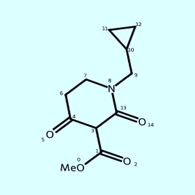 COC(=O)C1C(=O)CCN(CC2CC2)C1=O